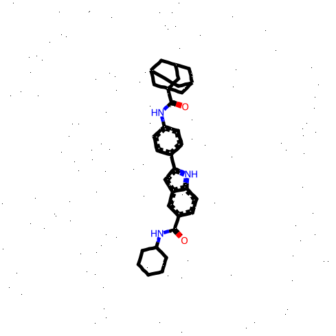 O=C(NC1CCCCC1)c1ccc2[nH]c(-c3ccc(NC(=O)C45CC6CC(CC(C6)C4)C5)cc3)cc2c1